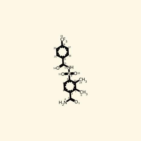 Cc1c(C(N)=O)ccc(S(=O)(=O)NC(=O)c2ccc(C(F)(F)F)cc2)c1C